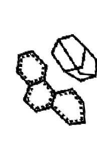 C1C2CC3CC1CC(C2)C3.c1ccc2c(c1)ccc1ccccc12